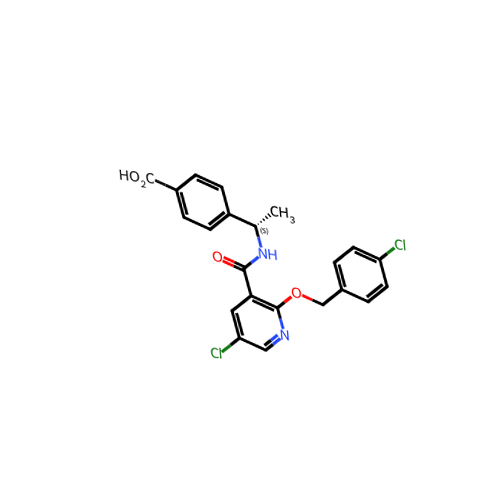 C[C@H](NC(=O)c1cc(Cl)cnc1OCc1ccc(Cl)cc1)c1ccc(C(=O)O)cc1